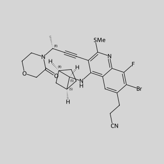 CSc1nc2c(F)c(Br)c(CCC#N)cc2c(N[C@@H]2[C@@H]3CC[C@H]2C3)c1C#C[C@@H](C)N1CCOCC1=O